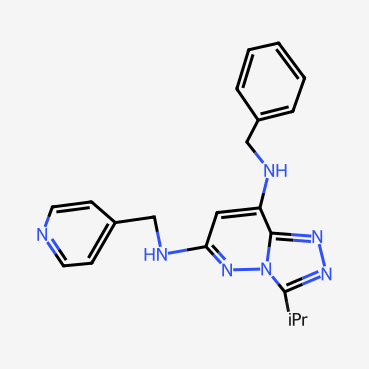 CC(C)c1nnc2c(NCc3ccccc3)cc(NCc3ccncc3)nn12